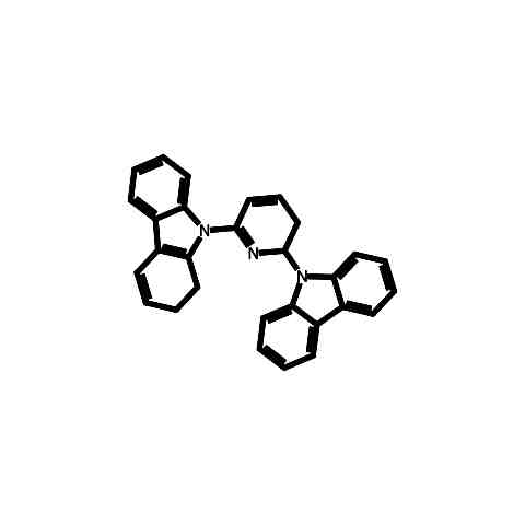 C1=Cc2c(n(C3=NC(n4c5ccccc5c5ccccc54)CC=C3)c3ccccc23)CC1